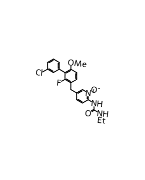 CCNC(=O)Nc1ccc(Cc2ccc(OC)c(-c3cccc(Cl)c3)c2F)c[n+]1[O-]